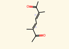 CC(=O)/C(C)=C/C=C(\C)C(C)=O